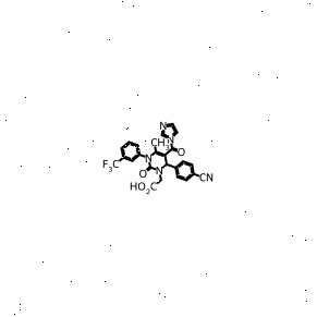 CC1=C(C(=O)n2ccnc2)C(c2ccc(C#N)cc2)N(CC(=O)O)C(=O)N1c1cccc(C(F)(F)F)c1